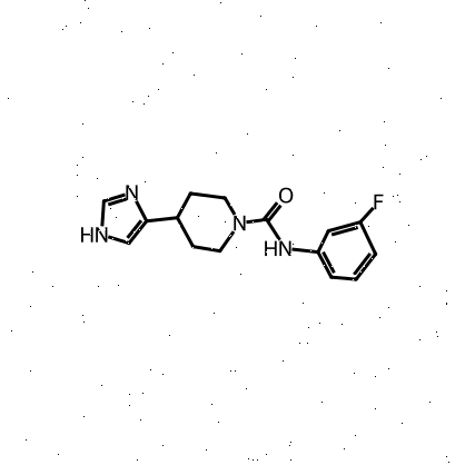 O=C(Nc1cccc(F)c1)N1CCC(c2c[nH]cn2)CC1